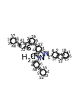 C=N/C(=N\C(=N/Cc1ccc2c(c1)Cc1ccccc1-2)c1ccc(-c2cccc3c2SC2=CC=C(c4ccccc4)CC23)cc1)c1cccc(-c2ccccc2)c1